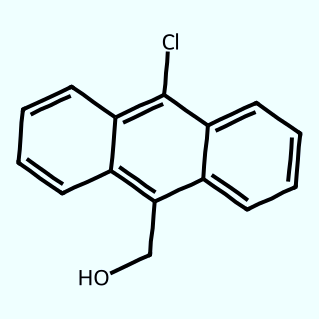 OCc1c2ccccc2c(Cl)c2ccccc12